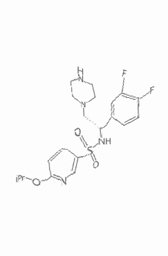 CC(C)Oc1ccc(S(=O)(=O)N[C@H](CN2CCNCC2)c2ccc(F)c(F)c2)cn1